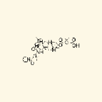 C=C(C)[C@@H]1CC[C@]2(C(=O)N[C@H]3C[C@@H](C(=O)N4CCCCC4)C3(C)C)CC[C@]3(C)[C@H](CC[C@@H]4[C@@]5(C)CC[C@H](OC(=O)[C@@H]6C[C@H](C(=O)O)C6(C)C)C(C)(C)[C@@H]5CC[C@]43C)[C@@H]12